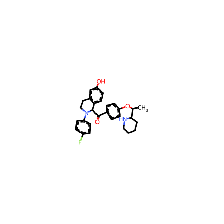 CC(Oc1ccc(C(=O)C2c3ccc(O)cc3CCN2c2ccc(F)cc2)cc1)C1CCCCN1